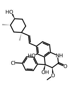 CO[C@@H]1C(=O)Nc2ccc(/C=C/[C@]3(C)CC[C@H](O)[C@@H](C)C3)c(O)c2[C@@]1(O)c1ccc(Cl)cc1